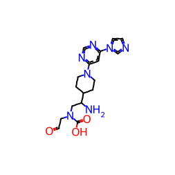 NC(CN(CC=O)C(=O)O)C1CCN(c2cc(-n3ccnc3)ncn2)CC1